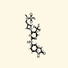 CN(CC1CN(c2nc(Nc3ccc4c(c3)CC(=O)N4)ncc2C(F)(F)F)C1)S(C)(=O)=O